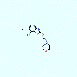 Clc1cccc2nc(SCCN3CCOCC3)sc12